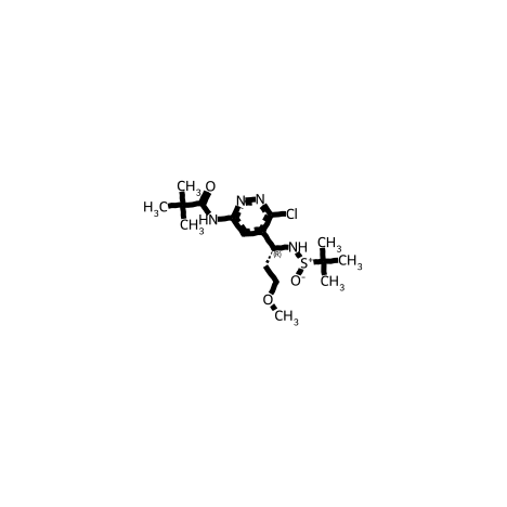 COCC[C@@H](N[S+]([O-])C(C)(C)C)c1cc(NC(=O)C(C)(C)C)nnc1Cl